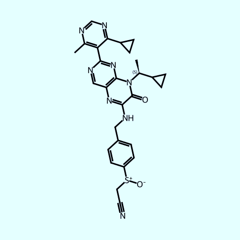 Cc1ncnc(C2CC2)c1-c1ncc2nc(NCc3ccc([S+]([O-])CC#N)cc3)c(=O)n([C@@H](C)C3CC3)c2n1